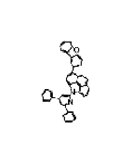 c1ccc(-c2cc(-c3ccccc3)nc(-n3c4cccc5ccc6c(-c7ccc8oc9ccccc9c8c7)ccc3c6c54)c2)cc1